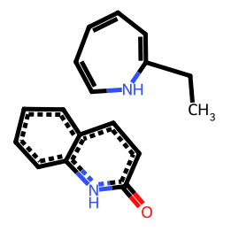 CCC1=CC=CC=CN1.O=c1ccc2ccccc2[nH]1